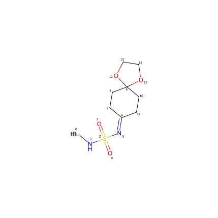 CC(C)(C)NS(=O)(=O)N=C1CCC2(CC1)OCCO2